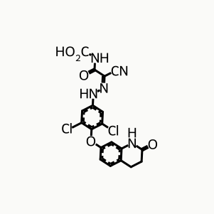 N#CC(=NNc1cc(Cl)c(Oc2ccc3c(c2)NC(=O)CC3)c(Cl)c1)C(=O)NC(=O)O